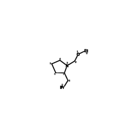 CCOCN1CCCC1CC(C)C